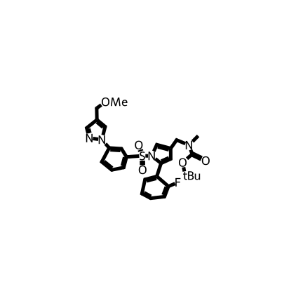 COCc1cnn(-c2cccc(S(=O)(=O)n3cc(CN(C)C(=O)OC(C)(C)C)cc3-c3ccccc3F)c2)c1